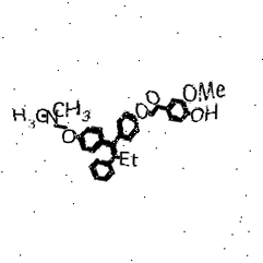 CCC(=C(c1ccc(OCCN(C)C)cc1)c1ccc(OCC(=O)c2ccc(O)c(OC)c2)cc1)c1ccccc1